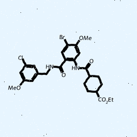 CCOC(=O)C1CCC(C(=O)Nc2cc(OC)c(Br)cc2C(=O)NCc2cc(Cl)cc(OC)c2)CC1